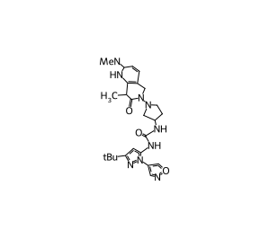 CNC1C=CC2=C(N1)C(C)C(=O)N(N1CCC(NC(=O)Nc3cc(C(C)(C)C)nn3-c3cnoc3)C1)C2